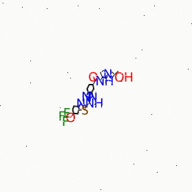 Cn1c(Nc2nc3ccc(OC(F)(F)F)cc3s2)nc2cc(C(=O)NC3CCN(CC(C)(C)O)C3)ccc21